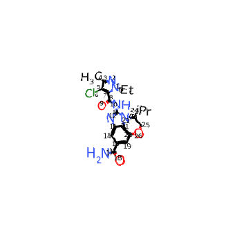 CCn1nc(C)c(Cl)c1C(=O)Nc1nc2cc(C(N)=O)cc3c2n1[C@@H](C(C)C)CO3